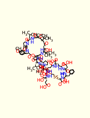 CC[C@@H](C)[C@H]1NC(=O)[C@H](NC(=O)[C@@H](CC(C)C)N(C)C(=O)C2CCCN2C(=O)[C@@H](C)OC(=O)OCCSSC[C@H](NC(=O)[C@H](Cc2ccccc2)NC(=O)[C@H](CC(=O)O)NC(=O)CC[C@H](NC(=O)CC[C@@H](NC(=O)N[C@H](CCC(=O)O)C(=O)O)C(=O)O)C(=O)O)C(=O)O)[C@H](C)OC(=O)C(Cc2ccc(OC)cc2)N(C)C(=O)[C@H]2CCCN2C(=O)C(CC(C)C)NC(=O)[C@H](C)C(=O)[C@@H](C(C)C)CC(=O)C[C@@H]1O